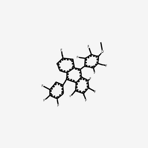 COc1c(F)c(F)c(-c2c3cc(F)ccc3c(-c3cc(F)c(F)c(F)c3)c3c(F)c(F)c(F)c(F)c23)c(F)c1F